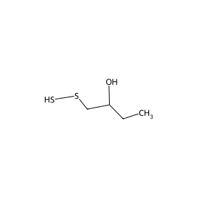 CCC(O)CSS